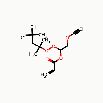 C#COCC(OOC(C)(C)CC(C)(C)C)OC(=O)C=C